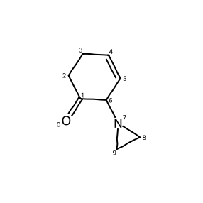 O=C1CCC=CC1N1CC1